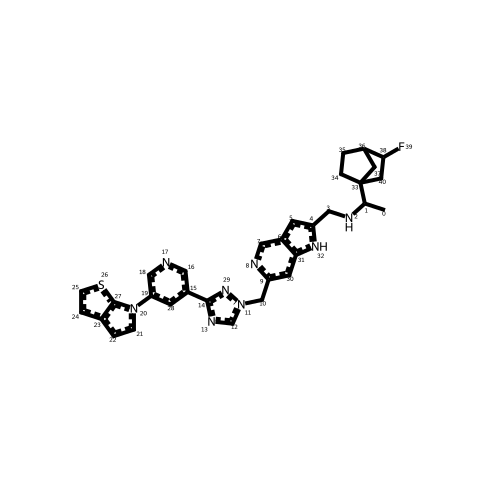 CC(NCc1cc2cnc(Cn3cnc(-c4cncc(-n5ccc6ccsc65)c4)n3)cc2[nH]1)C12CCC(C1)C(F)C2